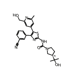 Cc1cc(-c2sc(NC(=O)N3CC[C@@H](C(C)(C)O)C3)nc2-c2cccc(C#N)c2)cc(CO)n1